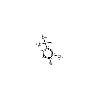 CC(O)(c1cc(C(F)(F)F)c(Br)cn1)C(F)(F)F